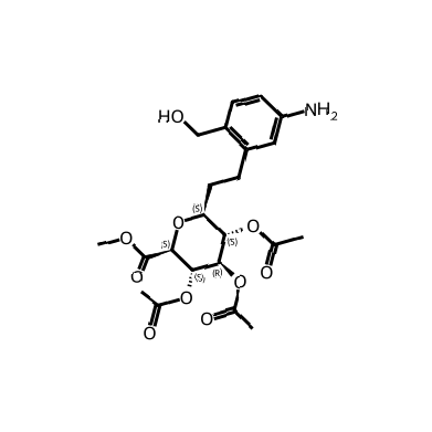 COC(=O)[C@H]1O[C@@H](CCc2cc(N)ccc2CO)[C@H](OC(C)=O)[C@@H](OC(C)=O)[C@@H]1OC(C)=O